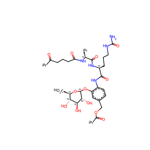 CC(C)C(=O)CCCC(=O)N[C@H](C(=O)N[C@@H](CCCNC(N)=O)C(=O)Nc1ccc(COC(=O)C(C)C)cc1O[C@@H]1O[C@H](C(=O)O)[C@@H](O)[C@H](O)[C@H]1O)C(C)C